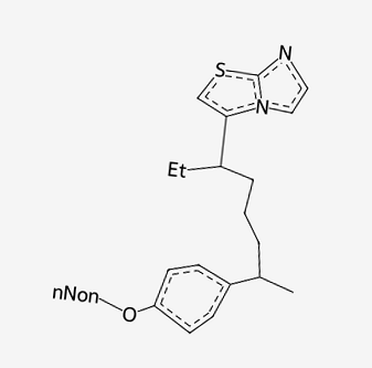 CCCCCCCCCOc1ccc(C(C)CCCC(CC)c2csc3nccn23)cc1